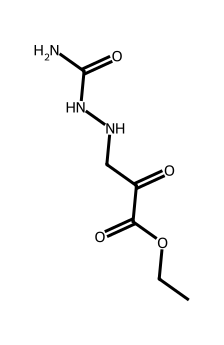 CCOC(=O)C(=O)CNNC(N)=O